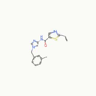 C=Cc1ncc(C(=O)Nc2cn(Cc3cccc(C)c3)cn2)s1